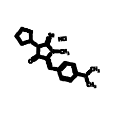 CN1C(=[Se])N(C2CCCC2)C(=O)C1=Cc1ccc(N(C)C)cc1.Cl